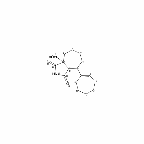 CCCCCCCCC12CCCCC(C3=CCCCCC3)=C1C(=O)NC2=O